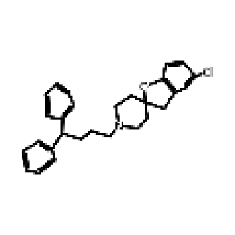 Clc1ccc2c(c1)CC1(CCN(CCCC(c3ccccc3)c3ccccc3)CC1)O2